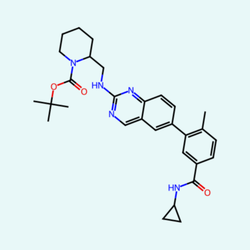 Cc1ccc(C(=O)NC2CC2)cc1-c1ccc2nc(NCC3CCCCN3C(=O)OC(C)(C)C)ncc2c1